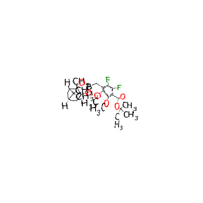 COc1c(CB2OC3C[C@H]4C[C@@H](C4(C)C)[C@]3(C)O2)c(F)c(F)c(C(=O)OC(C)(C)C)c1OC